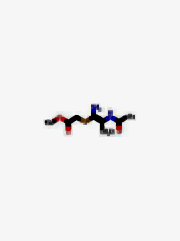 CCCCC(=O)N/C(C(=O)OCC)=C(\N)SCC(=O)OC(C)(C)C